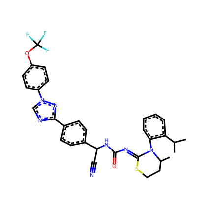 CC(C)c1ccccc1N1/C(=N/C(=O)NC(C#N)c2ccc(-c3ncn(-c4ccc(OC(F)(F)F)cc4)n3)cc2)SCCC1C